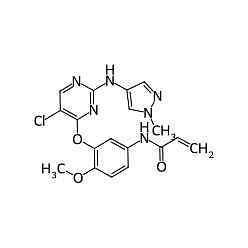 C=CC(=O)Nc1ccc(OC)c(Oc2nc(Nc3cnn(C)c3)ncc2Cl)c1